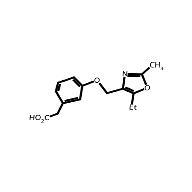 CCc1oc(C)nc1COc1cccc(CC(=O)O)c1